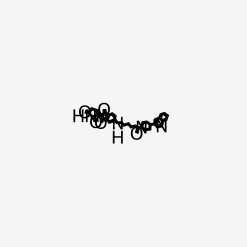 O=C1CCC(N2C(=O)c3ccc(NCCCCCC(=O)N4CCC(c5cnc6ccccc6c5)CC4)cc3C2=O)C(=O)N1